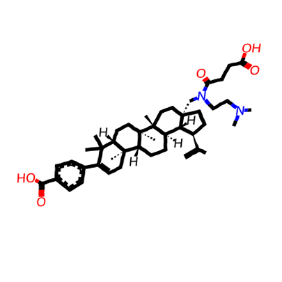 C=C(C)[C@@H]1CC[C@]2(CN(CCN(C)C)C(=O)CCC(=O)O)CC[C@]3(C)[C@H](CC[C@@H]4[C@@]5(C)CC=C(c6ccc(C(=O)O)cc6)C(C)(C)[C@@H]5CC[C@]43C)[C@@H]12